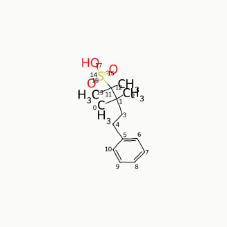 CC(C)(CCc1ccccc1)C(C)(C)S(=O)(=O)O